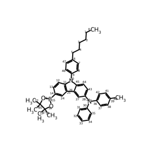 CCCCCCc1ccc(-n2c3ccc(B4OC(C)(C)C(C)(C)O4)cc3c3cc(N(c4ccccc4)c4ccc(C)cc4)ccc32)cc1